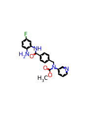 COC(=O)N(Cc1ccc(C(=O)Nc2cc(F)ccc2N)cc1)c1cccnc1